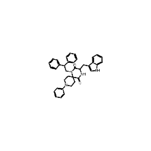 O=C1C(Cc2c[nH]c3ccccc23)NC(=O)C2(CCN(c3ccccc3)CC2)N1CC(c1ccccc1)c1ccccc1